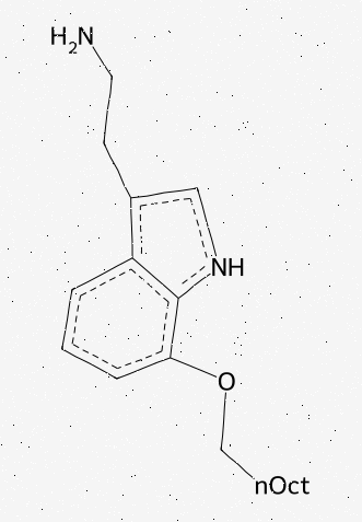 CCCCCCCCCOc1cccc2c(CCN)c[nH]c12